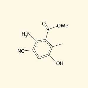 COC(=O)c1c(C)c(O)cc(C#N)c1N